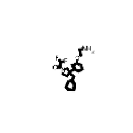 NCCOc1cccc(C2(Cc3ccccc3)CCN(C(=O)C(F)F)C2)c1